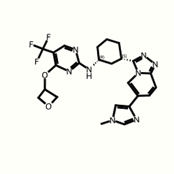 Cn1cnc(-c2ccc3nnc([C@H]4CCC[C@@H](Nc5ncc(C(F)(F)F)c(OC6COC6)n5)C4)n3c2)c1